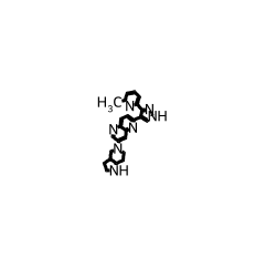 Cc1cccc(-c2n[nH]cc2-c2ccc3ncc(N4CCC5NCCC5C4)cc3n2)n1